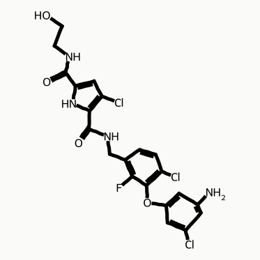 Nc1cc(Cl)cc(Oc2c(Cl)ccc(CNC(=O)c3[nH]c(C(=O)NCCO)cc3Cl)c2F)c1